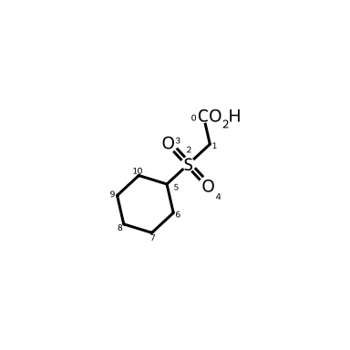 O=C(O)CS(=O)(=O)C1CCCCC1